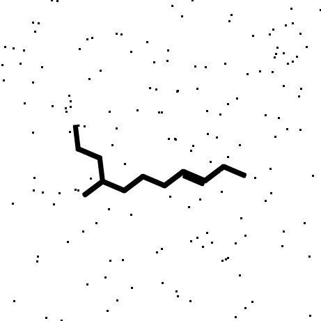 [CH2]CCC(C)CCC/C=C/CC